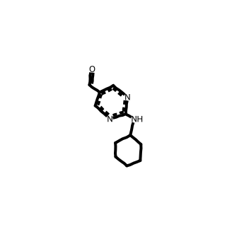 O=Cc1cnc(NC2CCCCC2)nc1